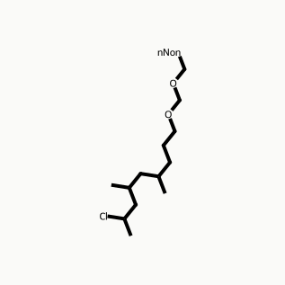 CCCCCCCCCCOCOCCCC(C)CC(C)CC(C)Cl